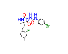 CC1C=CC(CCC2(C)NC(=O)N(NC(=O)Nc3ccc(Br)cc3)C2=O)=C(F)C1